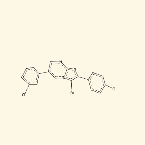 Clc1ccc(-c2nc3ncc(-c4cccc(Cl)c4)cn3c2Br)cc1